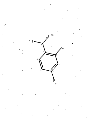 Cc1cc(F)ccc1C(F)F